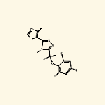 Cc1ncoc1-c1nnc(C(C)(C)Oc2c(F)cc(F)cc2F)n1C